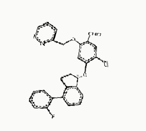 O=Cc1cc(Cl)c(O[C@H]2CCc3c(-c4ccccc4F)cccc32)cc1OCc1cccnn1